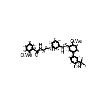 COc1ccc(-c2cccc(C(C)(C)N=O)c2)cc1SNc1cccc(NCCNC(=O)c2ccccc2OC)c1